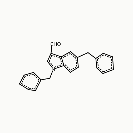 O=Cc1cn(Cc2ccccc2)c2ccc(Cc3ccccc3)cc12